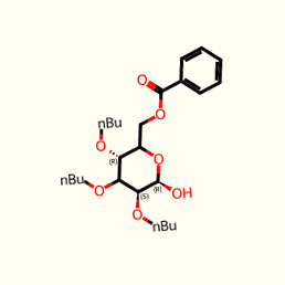 CCCCOC1[C@H](OCCCC)C(COC(=O)c2ccccc2)O[C@@H](O)[C@H]1OCCCC